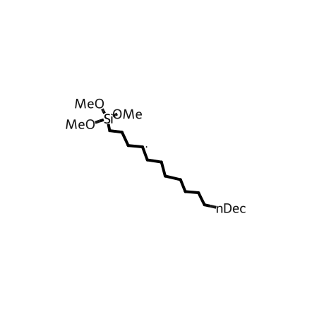 CCCCCCCCCCCCCCCCC[CH]CCC[Si](OC)(OC)OC